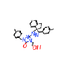 Cc1ccc(Cn2nc(N3C[C@@]4(CCc5ccccc54)C(c4ccc(C)cc4)=N3)n(CCO)c2=O)cc1